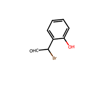 O=CC(Br)c1ccccc1O